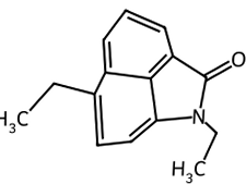 CCc1ccc2c3c(cccc13)C(=O)N2CC